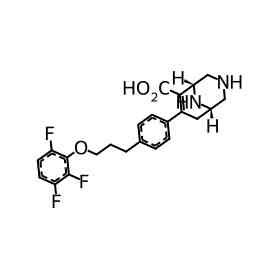 O=C(O)C1=C(c2ccc(CCCOc3c(F)ccc(F)c3F)cc2)C[C@H]2CNC[C@@H]1N2